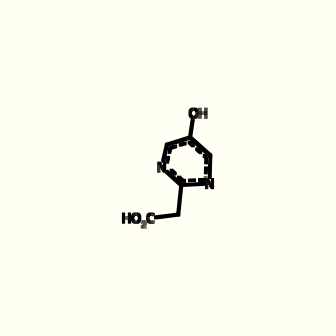 O=C(O)Cc1ncc(O)cn1